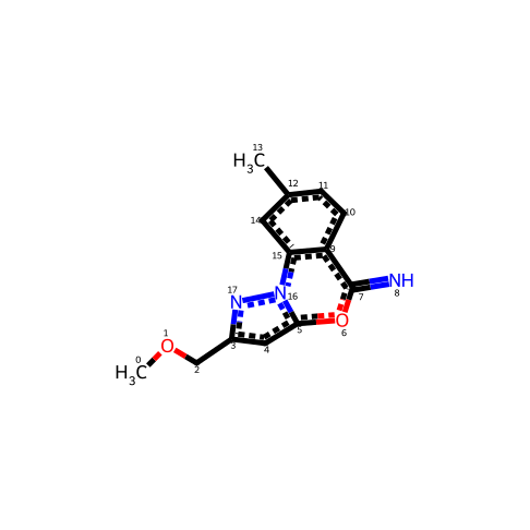 COCc1cc2oc(=N)c3ccc(C)cc3n2n1